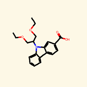 CCOCC(COCC)n1c2ccccc2c2ccc(C(=O)O)cc21